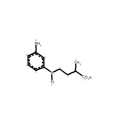 CCN(CCC(C)C(=O)O)c1cccc(N)c1